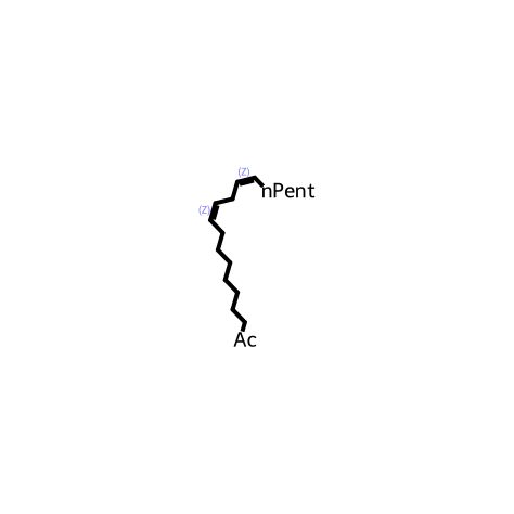 [CH]C(=O)CCCCCCC/C=C\C/C=C\CCCCC